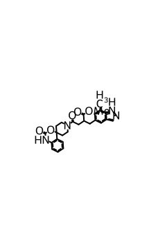 COC(=O)C(CC(=O)N1CCC2(CC1)OC(=O)Nc1ccccc12)Cc1cc(C)c2[nH]ncc2c1